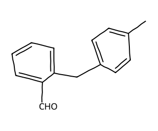 Cc1ccc(Cc2ccccc2C=O)cc1